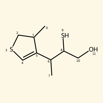 CC1CSC=C1C(C)C(S)CO